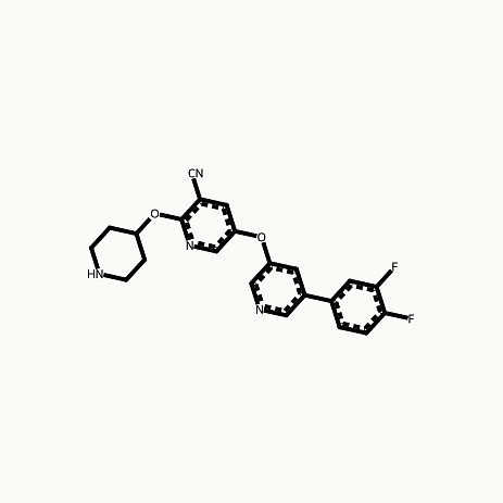 N#Cc1cc(Oc2cncc(-c3ccc(F)c(F)c3)c2)cnc1OC1CCNCC1